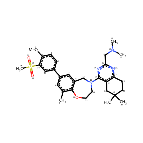 COc1ccc(-c2cc(C)c3c(c2)CN(c2nc(CN(C)C)nc4c2CC(C)(C)CC4)CCO3)cc1S(C)(=O)=O